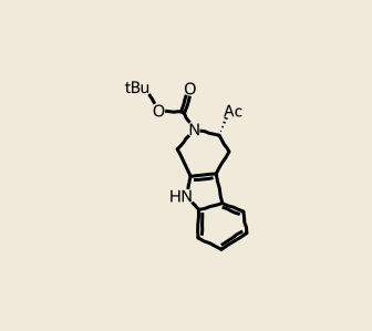 CC(=O)[C@@H]1Cc2c([nH]c3ccccc23)CN1C(=O)OC(C)(C)C